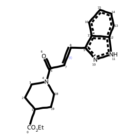 CCOC(=O)C1CCN(C(=O)/C=C/c2n[nH]c3ccccc23)CC1